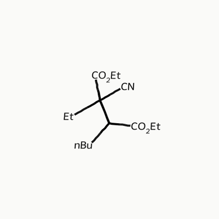 CCCCC(C(=O)OCC)C(C#N)(CC)C(=O)OCC